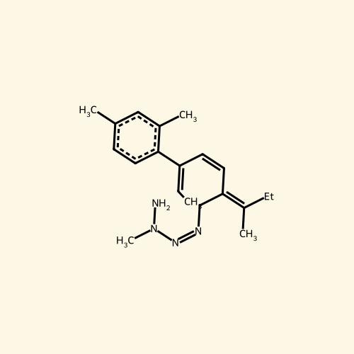 C\C=C(/C=C\C(C/N=N\N(C)N)=C(\C)CC)c1ccc(C)cc1C